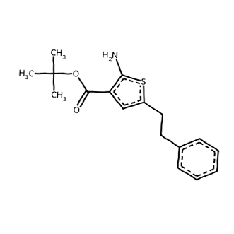 CC(C)(C)OC(=O)c1cc(CCc2ccccc2)sc1N